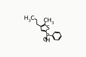 CCCc1cc([PH](=O)c2ccccc2)sc1C